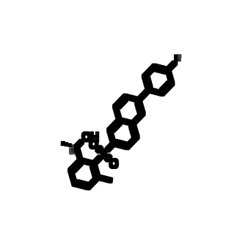 Cc1cccc([C@H](C)O)c1S(=O)(=O)c1ccc2cc(-c3ccc(F)cc3)ccc2c1